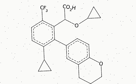 O=C(O)C(OC1CC1)c1c(C(F)(F)F)ccc(C2CC2)c1-c1ccc2c(c1)CCCO2